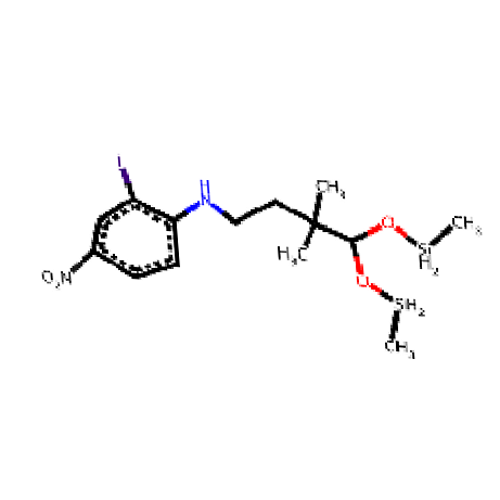 C[SiH2]OC(O[SiH2]C)C(C)(C)CCNc1ccc([N+](=O)[O-])cc1I